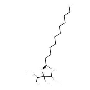 CCCCCCCCCCCC1=NC(C)(C(C)C)C(C)N1